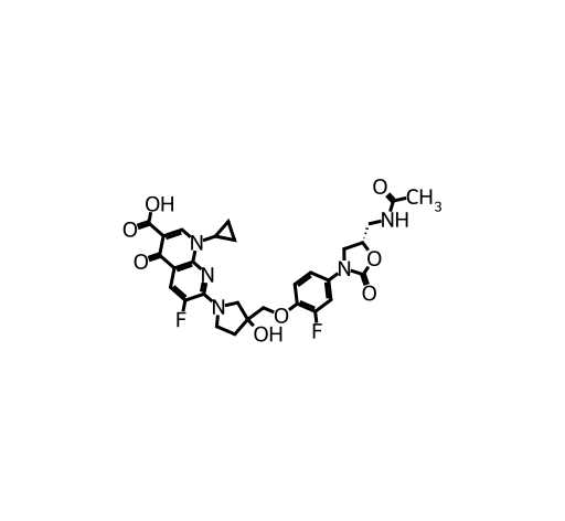 CC(=O)NC[C@H]1CN(c2ccc(OCC3(O)CCN(c4nc5c(cc4F)c(=O)c(C(=O)O)cn5C4CC4)C3)c(F)c2)C(=O)O1